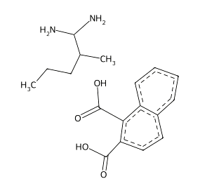 CCCC(C)C(N)N.O=C(O)c1ccc2ccccc2c1C(=O)O